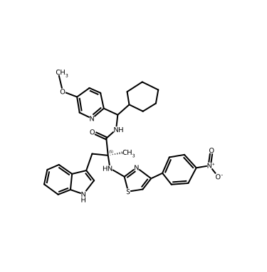 COc1ccc(C(NC(=O)[C@](C)(Cc2c[nH]c3ccccc23)Nc2nc(-c3ccc([N+](=O)[O-])cc3)cs2)C2CCCCC2)nc1